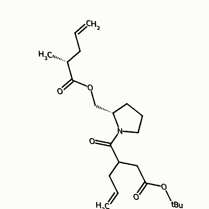 C=CCC(CC(=O)OC(C)(C)C)C(=O)N1CCC[C@H]1COC(=O)[C@H](C)CC=C